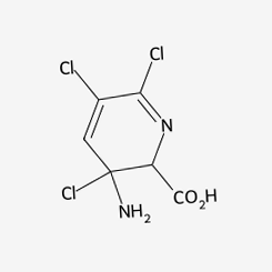 NC1(Cl)C=C(Cl)C(Cl)=NC1C(=O)O